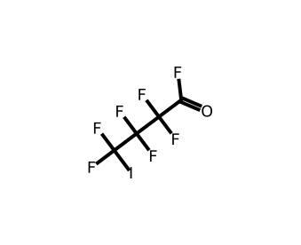 O=C(F)C(F)(F)C(F)(F)C(F)(F)I